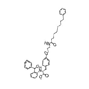 COC(=O)[C@H](Cc1ccc(OCCCNC(=O)CCCCCCCCc2ccccc2)cc1)Nc1ccccc1C(=O)c1ccccc1